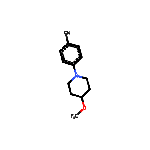 N#Cc1ccc(N2CCC(OC(F)(F)F)CC2)cc1